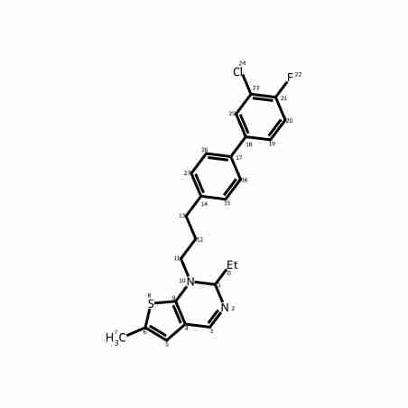 CCC1N=Cc2cc(C)sc2N1CCCc1ccc(-c2ccc(F)c(Cl)c2)cc1